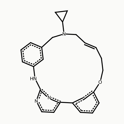 C1=C/CN(C2CC2)Cc2cccc(c2)Nc2nccc(n2)-c2cccc(c2)OCC/1